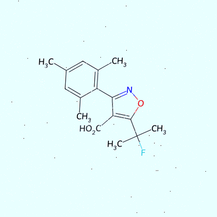 Cc1cc(C)c(-c2noc(C(C)(C)F)c2C(=O)O)c(C)c1